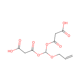 C=CCOC(OC(=O)CC(=O)O)OC(=O)CC(=O)O